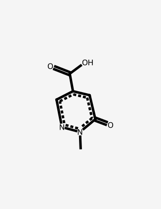 Cn1ncc(C(=O)O)cc1=O